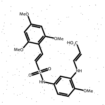 COc1cc(OC)c(/C=C/S(=O)(=O)Nc2ccc(OC)c(NC=CC(=O)O)c2)c(OC)c1